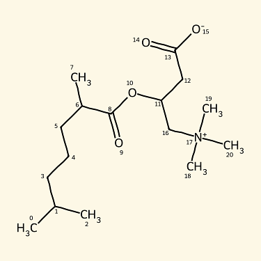 CC(C)CCCC(C)C(=O)OC(CC(=O)[O-])C[N+](C)(C)C